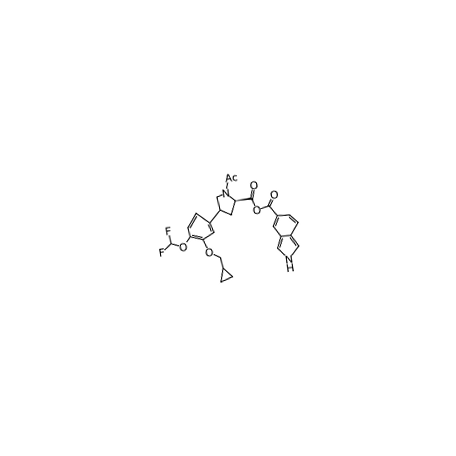 CC(=O)N1CC(c2ccc(OC(F)F)c(OCC3CC3)c2)C[C@@H]1C(=O)OC(=O)c1ccc2c[nH]cc2c1